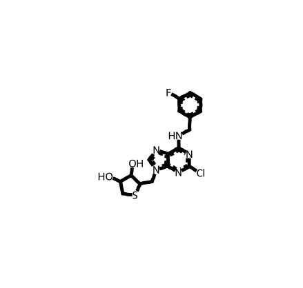 OC1CSC(Cn2cnc3c(NCc4cccc(F)c4)nc(Cl)nc32)C1O